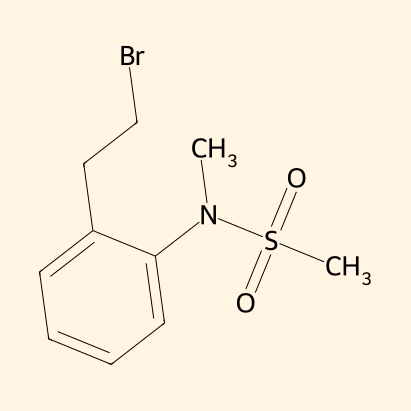 CN(c1ccccc1CCBr)S(C)(=O)=O